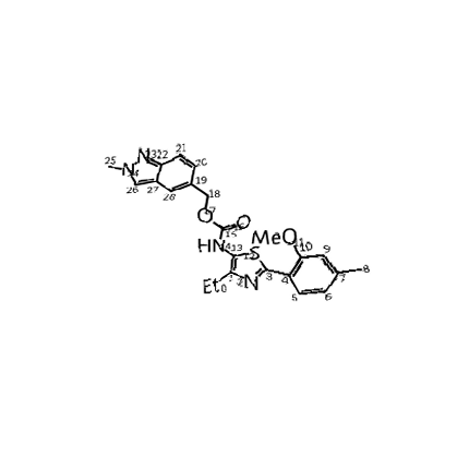 CCc1nc(-c2ccc(C)cc2OC)sc1NC(=O)OCc1ccc2nn(C)cc2c1